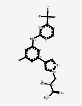 Cc1cc(Nc2nccc(C(F)(F)F)n2)cc(-c2cnn(C[C@H](O)C(N)=O)c2)c1